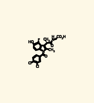 Cc1c([C@H](C)C(=O)NCC(=O)O)c2c(F)c(O)ccc2n1C(=O)c1ccc(Cl)c(Cl)c1